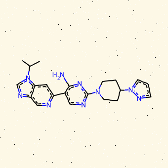 CC(C)n1cnc2cnc(-c3cnc(N4CCC(n5cccn5)CC4)nc3N)cc21